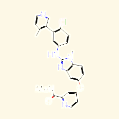 CNC(=O)c1cc(Oc2ccc3c(c2)nc(Nc2ccc(Cl)c(-c4cnccc4C)c2)n3C)ccn1